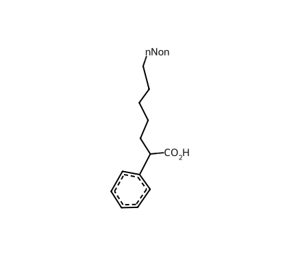 CCCCCCCCCCCCCCC(C(=O)O)c1ccccc1